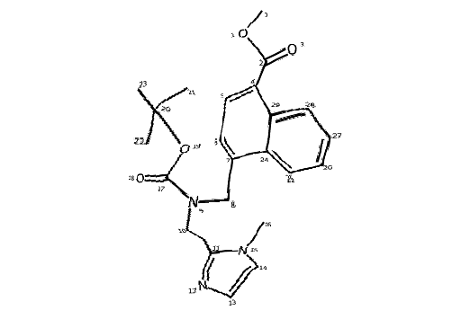 COC(=O)c1ccc(CN(Cc2nccn2C)C(=O)OC(C)(C)C)c2ccccc12